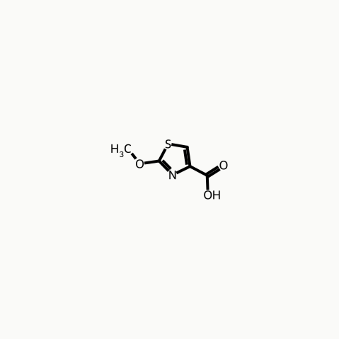 COc1nc(C(=O)O)cs1